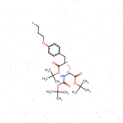 CC(C)(C)OC(=O)N[C@H](C[C@@H](Cc1ccc(OCCCF)cc1)C(=O)OC(C)(C)C)C(=O)OC(C)(C)C